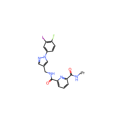 CC(C)NC(=O)c1cccc(C(=O)NCc2cnn(-c3ccc(F)c(I)c3)c2)n1